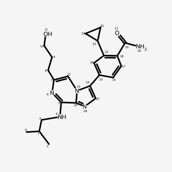 CC(C)CNc1nc(CCCO)cn2c(-c3ccc(C(N)=O)c(C4CC4)c3)cnc12